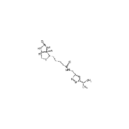 CC(C)n1cc(CNC(=O)CCCC[C@@H]2SC[C@@H]3NC(=O)N[C@@H]32)nn1